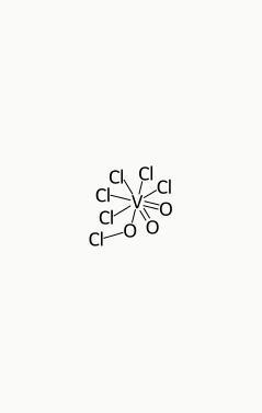 [O]=[V](=[O])([Cl])([Cl])([Cl])([Cl])([Cl])[O]Cl